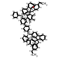 C=Cc1ccc(CC2(c3c(F)c(F)c(F)c(F)c3F)c3ccccc3-c3ccc(N(c4ccccc4)c4ccc(-c5ccc(N(c6ccccc6)c6ccc7c(c6)C(Cc6ccc(C=C)cc6)(c6c(F)c(F)c(F)c(F)c6F)c6ccccc6-7)cc5)cc4)cc32)cc1